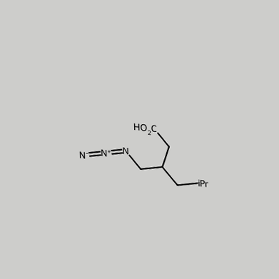 CC(C)CC(CN=[N+]=[N-])CC(=O)O